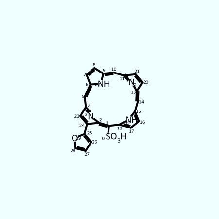 O=S(=O)(O)c1c2nc(cc3ccc(cc4nc(cc5ccc1[nH]5)C=C4)[nH]3)C=C2c1ccco1